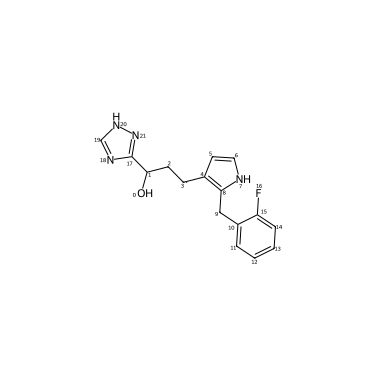 OC(C[CH]c1cc[nH]c1Cc1ccccc1F)c1nc[nH]n1